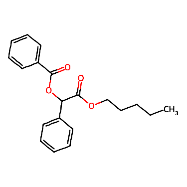 CCCCCOC(=O)C(OC(=O)c1ccccc1)c1ccccc1